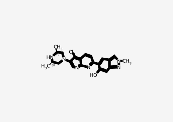 C[C@H]1CN(c2cnc3nc(-c4cc5cn(C)nc5cc4O)ccc3c2Cl)C[C@H](C)N1